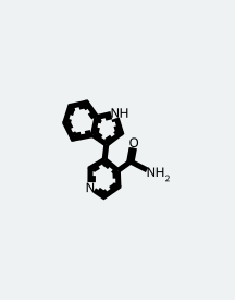 NC(=O)c1ccncc1-c1c[nH]c2ccccc12